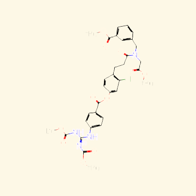 CC(C)(C)OC(=O)CN(Cc1cccc(C(=O)OC(C)(C)C)c1)C(=O)CCc1ccc(OC(=O)c2ccc(N/C(=N\C(=O)OC(C)(C)C)NC(=O)OC(C)(C)C)cc2)cc1Cl